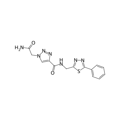 NC(=O)Cn1cc(C(=O)NCc2nnc(-c3ccccc3)s2)nn1